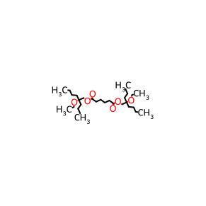 CCCCC(CCCC)(COC(=O)CCCCC(=O)OCC(CCCC)(CCCC)OCC)OCC